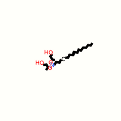 CCCCCCCCC=CCCCCCCCCN(OC(C)CCO)OC(C)CCO